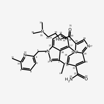 CCc1nn(Cc2cccc(C)n2)c2cccc([N+]34C=CC(C(N)=O)=CC3=NC=C4C(=O)NCCN(C)C)c12